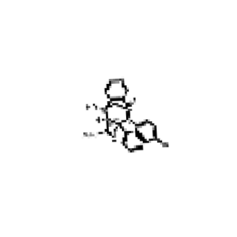 COC(=O)[C@@H]1[C@@H](c2ccccc2)[C@@]2(c3ccc(Br)cc3)Oc3cnccc3[C@@]1(O)CC2=O